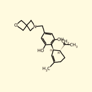 C=C(C)[C@@H]1CCC(C)=C[C@H]1c1c(O)cc(CN2CC3(COC3)C2)cc1O